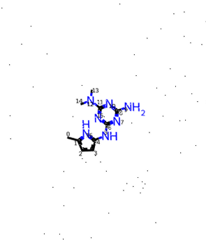 Cc1ccc(Nc2nc(N)nc(N(C)C)n2)[nH]1